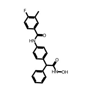 Cc1cc(C(=O)Nc2ccc(C(C(=O)NO)c3ccccc3)cc2)ccc1F